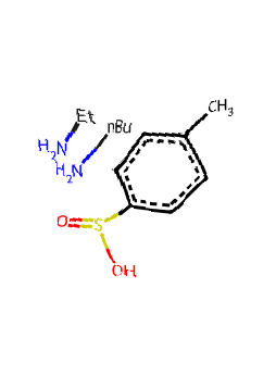 CCCCN.CCN.Cc1ccc(S(=O)O)cc1